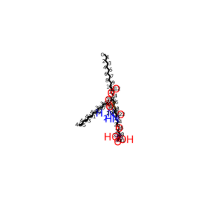 CCCCCCCCCCCC(=O)OC[C@H](CSC[C@H](N)C(=O)NCCOCCP(=O)(O)O)OC(=O)CCCCCCCCCCC